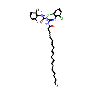 CCC=CCC=CCC=CCC=CCC=CCCCC(=O)NC(=Nc1c(Cl)cccc1Cl)NC(=O)Nc1c(C)cccc1C